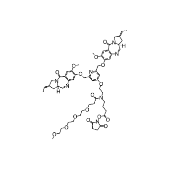 C/C=C1\C[C@H]2C=Nc3cc(OCc4cc(OCCN(CCCC(=O)ON5C(=O)CCC5=O)C(=O)CCOCCOCCOCCOC)cc(COc5cc6c(cc5OC)C(=O)N5C/C(=C/C)C[C@H]5C=N6)n4)c(OC)cc3C(=O)N2C1